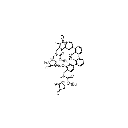 COc1nc(-c2cccc(-c3cccc(-c4ccn5c(=O)c(C)c(CN(C[C@H]6CCC(=O)N6)C(=O)OC(C)(C)C)nc5c4)c3Cl)c2Cl)ccc1CN(C[C@@H]1CCC(=O)N1)C(=O)OC(C)(C)C